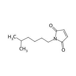 CC(C)CCCCN1C(=O)C=CC1=O